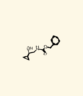 O=C(NC[C@H](O)C1CC1)OCc1ccccc1